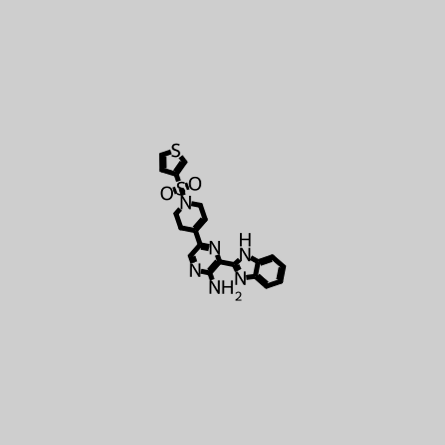 Nc1ncc(C2=CCN(S(=O)(=O)c3ccsc3)CC2)nc1-c1nc2ccccc2[nH]1